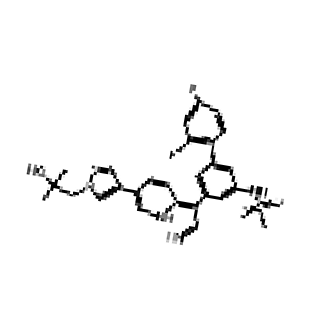 CC(C)(O)Cn1cc(C2=CN/C(=C(\C=N)c3cc(NS(C)(=O)=O)cc(-c4ccc(F)cc4F)c3)C=C2)cn1